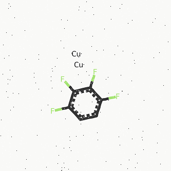 Fc1ccc(F)c(F)c1F.[Cu].[Cu]